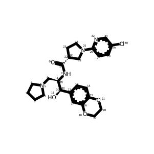 O=C(N[C@H](CN1CCCC1)[C@H](O)c1ccc2c(c1)OCCO2)[C@@H]1CCN(c2ccc(Cl)cn2)C1